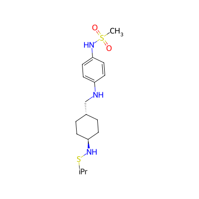 CC(C)SN[C@H]1CC[C@H](CNc2ccc(NS(C)(=O)=O)cc2)CC1